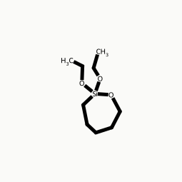 CCO[Si]1(OCC)CCCCCO1